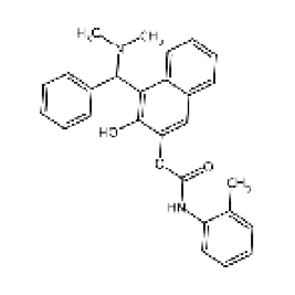 Cc1ccccc1NC(=O)Oc1cc2ccccc2c(C(c2ccccc2)N(C)C)c1O